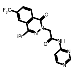 CC(C)c1nn(CC(=O)Nc2ccncn2)c(=O)c2ccc(C(F)(F)F)cc12